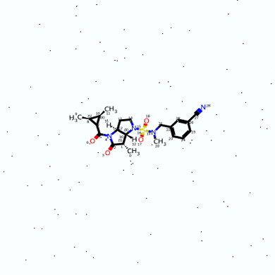 C[C@@H]1C(=O)N(C(=O)C2[C@@H](C)[C@H]2C)[C@H]2CCN(S(=O)(=O)N(C)Cc3cccc(C#N)c3)[C@H]12